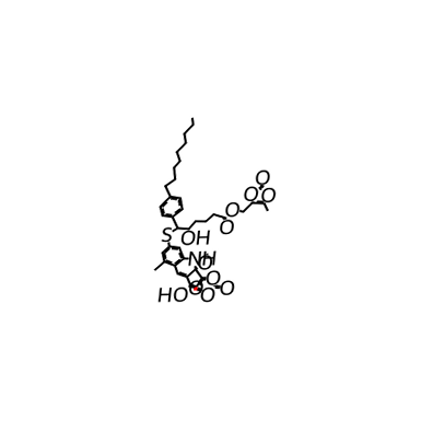 CCCCCCCCCc1ccc(C(Sc2cc(C)c3c(c2)NC(OC)(c2coc(=O)o2)C(C(=O)O)=C3)C(O)CCCC(=O)OCc2oc(=O)oc2C)cc1